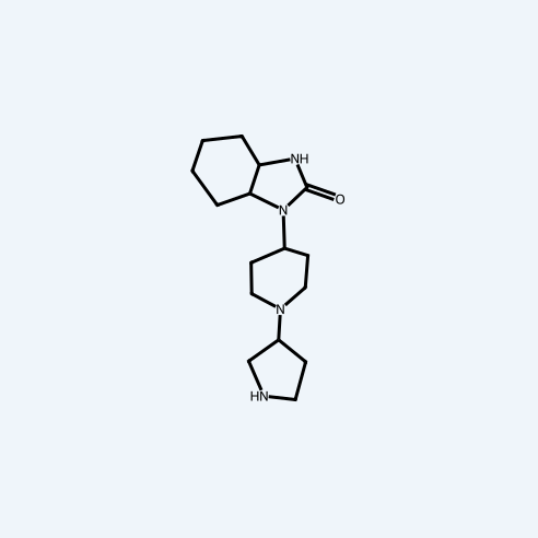 O=C1NC2CCCCC2N1C1CCN(C2CCNC2)CC1